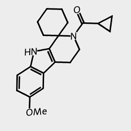 COc1ccc2[nH]c3c(c2c1)CCN(C(=O)C1CC1)C31CCCCC1